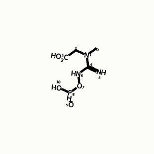 CN(CC(=O)O)C(=N)NO[PH](=O)O